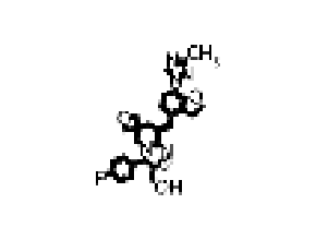 Cc1ncn(-c2ccc(/C=C3\CC4(COC4)CN4C3=NOC(CO)C4c3ccc(F)cc3)c3c2OCC3)n1